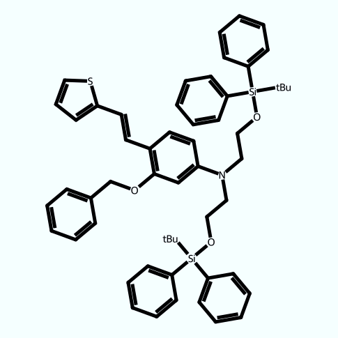 CC(C)(C)[Si](OCCN(CCO[Si](c1ccccc1)(c1ccccc1)C(C)(C)C)c1ccc(C=Cc2cccs2)c(OCc2ccccc2)c1)(c1ccccc1)c1ccccc1